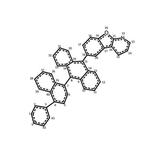 c1ccc(-c2ccc(-c3c4ccccc4c(-c4ccc5oc6ncccc6c5c4)c4ccccc34)c3ccccc23)cc1